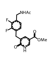 COC(=O)c1c[nH]c(=O)c(Cc2ccc(CNC(C)=O)c(F)c2F)c1